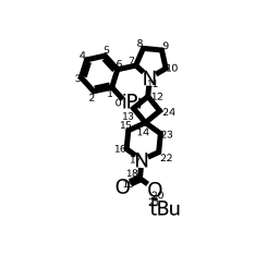 CC(C)c1ccccc1C1CCCN1C1CC2(CCN(C(=O)OC(C)(C)C)CC2)C1